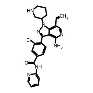 C=Cc1cnc(N)c2c(-c3ccc(C(=O)Nc4ccccn4)cc3Cl)nn(C3CCCNC3)c12